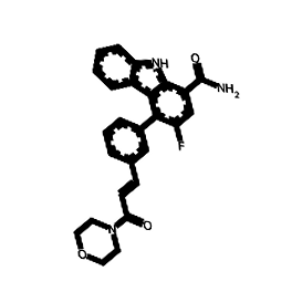 NC(=O)c1cc(F)c(-c2cccc(/C=C/C(=O)N3CCOCC3)c2)c2c1[nH]c1ccccc12